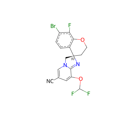 N#CC1=CN2C[C@@]3(CCOc4c3ccc(Br)c4F)N=C2C(OC(F)F)=C1